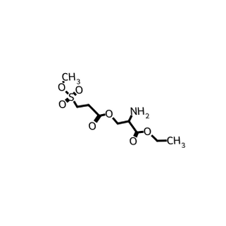 CCOC(=O)C(N)COC(=O)CCS(=O)(=O)OC